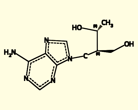 C[C@@H](O)[C@@H](CO)Cn1cnc2c(N)ncnc21